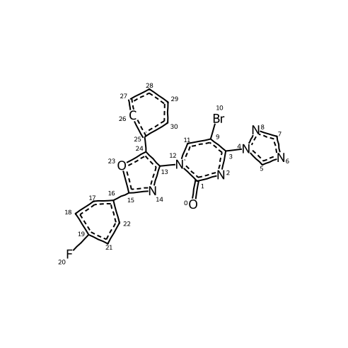 O=c1nc(-n2cncn2)c(Br)cn1-c1nc(-c2ccc(F)cc2)oc1-c1ccccc1